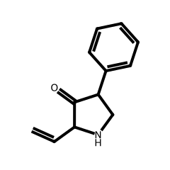 C=CC1NCC(c2ccccc2)C1=O